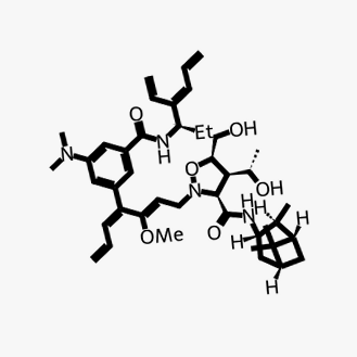 C=C/C=C(\C(=C\CN1O[C@@H](CO)[C@@H]([C@H](C)O)[C@H]1C(=O)N[C@H]1C[C@H]2C[C@@H]([C@@H]1C)C2(C)C)OC)c1cc(C(=O)N[C@H](CC)/C(C=C)=C/C=C)cc(N(C)C)c1